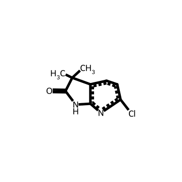 CC1(C)C(=O)Nc2nc(Cl)ccc21